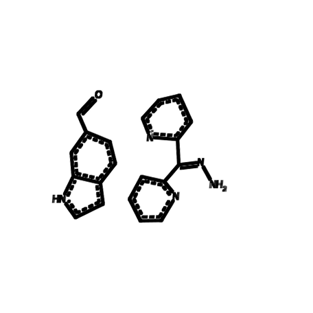 NN=C(c1ccccn1)c1ccccn1.O=Cc1ccc2cc[nH]c2c1